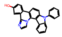 Oc1ccc2c(c1)c1nccn1c1c2ccc2c1c1ccccc1n2-c1ccccc1